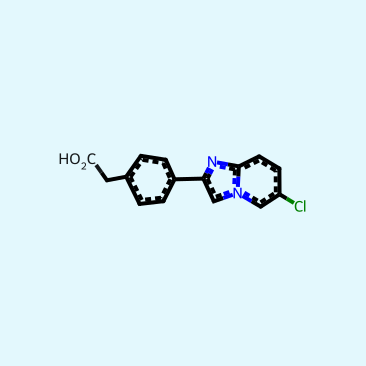 O=C(O)Cc1ccc(-c2cn3cc(Cl)ccc3n2)cc1